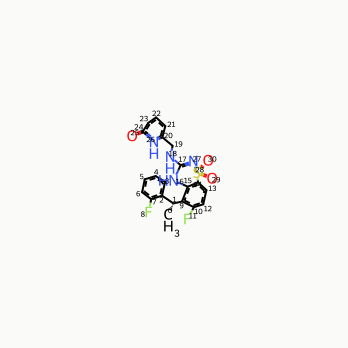 C[C@H](c1ccccc1F)c1c(F)ccc2c1NC(NCc1cccc(=O)[nH]1)=NS2(=O)=O